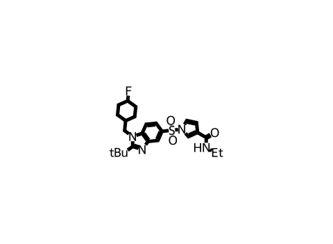 CCNC(=O)c1ccn(S(=O)(=O)c2ccc3c(c2)nc(C(C)(C)C)n3CC2CCC(F)CC2)c1